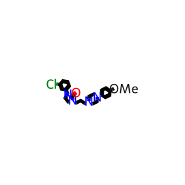 COc1ccc(N2CCN(CCCN3CCN(c4cccc(Cl)c4)C3=O)CC2)cc1